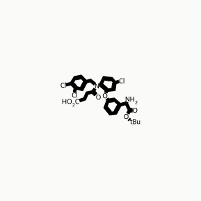 CC(C)(C)OC(=O)C(N)c1cccc(Oc2cc(Cl)ccc2N(Cc2ccc(Cl)c(Cl)c2)C(=O)CCC(=O)O)c1